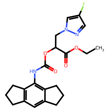 CCOC(=O)C(Cn1cc(F)cn1)OC(=O)Nc1c2c(cc3c1CCC3)CCC2